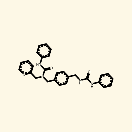 O=C(NCc1ccc(CN(Cc2ccccn2)C(=O)Nc2ccccc2)cc1)Nc1ccccc1